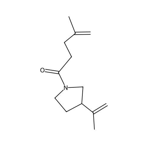 C=C(C)CCC(=O)N1CCC(C(=C)C)C1